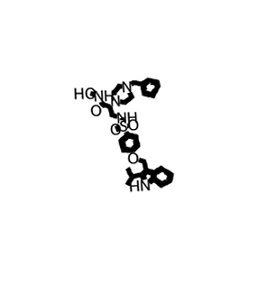 CC(C)c1[nH]c2ccccc2c1COc1ccc(S(=O)(=O)NCC(C(=O)NO)N2CCN(Cc3ccccc3)CC2)cc1